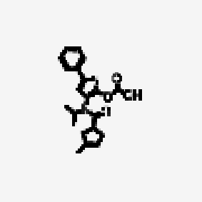 CC1=CCC(C(=O)N(c2cc(-c3ccccc3)sc2OC(=O)O)C(C)C)C1